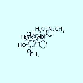 COc1cc(C2(P3(=O)CC[C@H](C)C3)CCCCC2Nc2ccc(C)nc2C)cc(OC)c1O